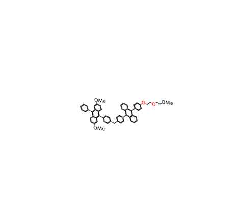 COCCOCCOc1ccc(-c2c3ccccc3c(-c3ccc(Cc4ccc(-c5c6ccc(OC)cc6c(-c6ccccc6)c6ccc(OC)cc56)cc4)cc3)c3ccccc23)cc1